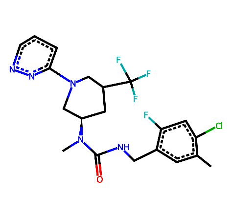 Cc1cc(CNC(=O)N(C)[C@@H]2CC(C(F)(F)F)CN(c3cccnn3)C2)c(F)cc1Cl